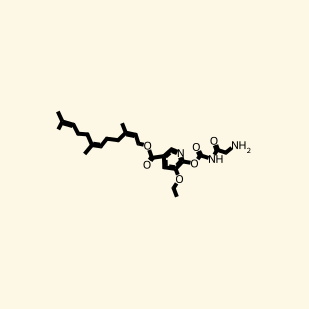 CCOc1cc(C(=O)OCC=C(C)CCC=C(C)CCC=C(C)C)cnc1OC(=O)NC(=O)CN